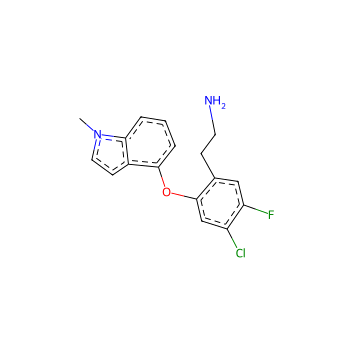 Cn1ccc2c(Oc3cc(Cl)c(F)cc3CCN)cccc21